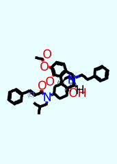 CC(=O)Oc1ccc2c3c1OC1C(N(CC(C)C)C(=O)/C=C/c4ccccc4)CC[C@@]4(O)[C@@H](C2)N(CCc2ccccc2)CC[C@]314